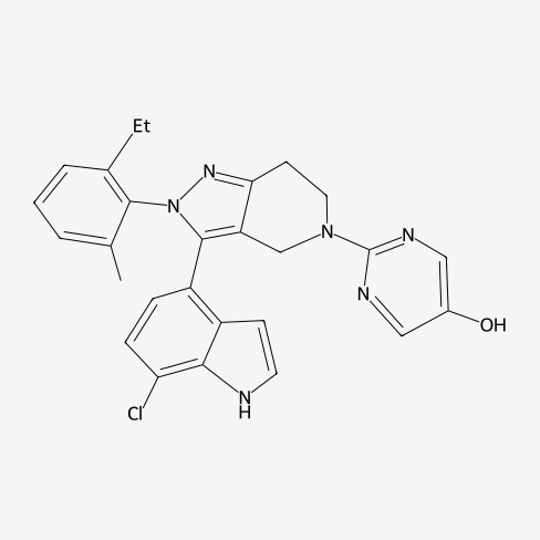 CCc1cccc(C)c1-n1nc2c(c1-c1ccc(Cl)c3[nH]ccc13)CN(c1ncc(O)cn1)CC2